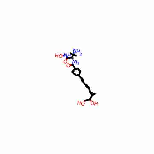 CC(C)(N)[C@H](NC(=O)c1ccc(C#CC#CC2CC2C(O)CO)cc1)C(=O)NO